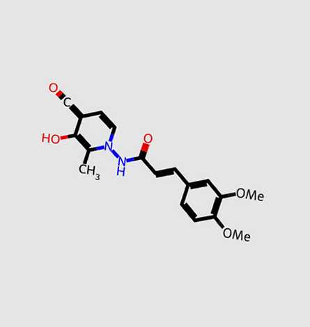 COc1ccc(/C=C/C(=O)NN2C=CC(=C=O)C(O)=C2C)cc1OC